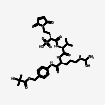 CC(C)[C@H](NC(=O)[C@@H](CCN1C(=O)C=CC1=O)S(=O)(=O)O)C(=O)N[C@@H](CCCNC(N)O)C(=O)Nc1ccc(COC(=O)C(C)(C)S)cc1